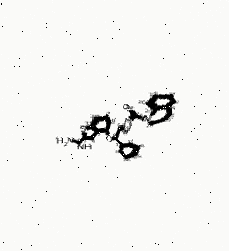 N=C(N)c1cc2c(OC(COC(=O)N3CCc4ccccc43)c3ccccc3)cccc2s1